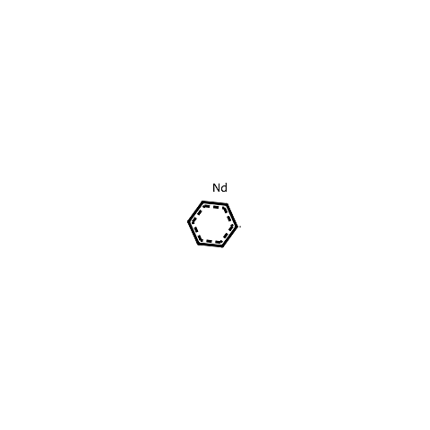 [Nd].[c]1ccccc1